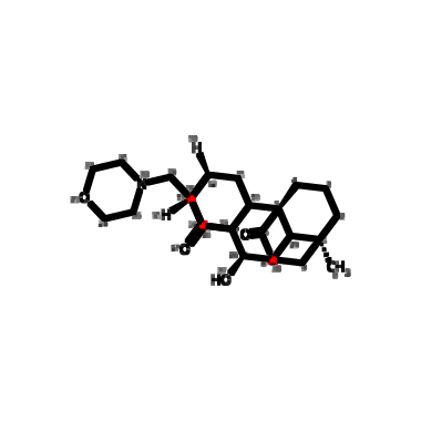 C[C@]12CCC[C@@]3(C(=O)OC1)C1C[C@@H]4CCC1(C(=O)[C@@H]4CN1CCOCC1)[C@H](O)CC23